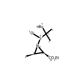 CCCCC(C)(C)[S+]([O-])N1[C@H](C)[C@@H]1C(=O)OCC